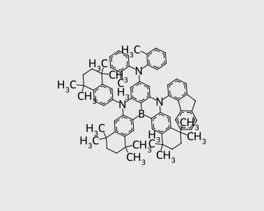 Cc1ccccc1N(c1cc2c3c(c1)N(c1cccc4c1-c1ccccc1C4)c1cc4c(cc1B3c1cc3c(cc1N2c1ccc2c(c1)C(C)(C)CCC2(C)C)C(C)(C)CCC3(C)C)C(C)(C)CCC4(C)C)c1ccccc1C